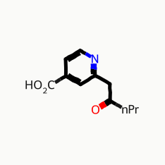 CCCC(=O)Cc1cc(C(=O)O)ccn1